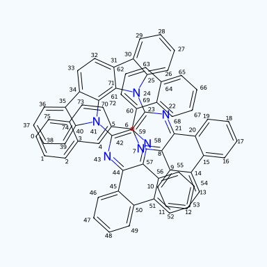 c1ccc2cc(-c3nc4c5ccccc5c5ccccc5c4nc3-n3c4ccccc4c4ccc5c6ccccc6n(-c6nc7c8ccccc8c8ccccc8c7nc6-c6cccc7ccccc67)c5c43)ccc2c1